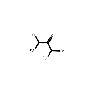 CC(C)C(C(=O)C(C(C)C)C(F)(F)F)C(F)(F)F